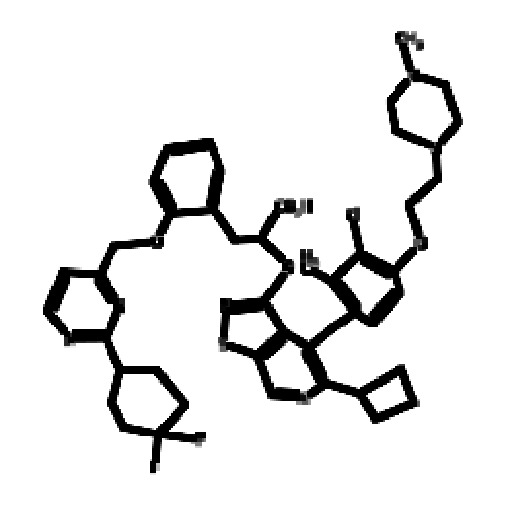 Cc1c(-c2c(C3CCC3)ncc3snc(OC(Cc4ccccc4OCc4ccnc(C5CCC(F)(F)CC5)n4)C(=O)O)c23)ccc(OCCN2CCN(C)CC2)c1Cl